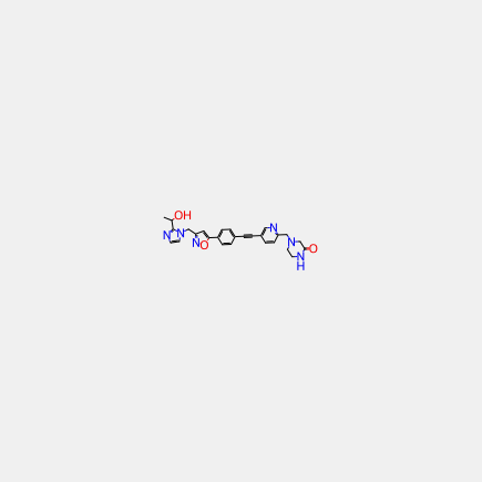 CC(O)c1nccn1Cc1cc(-c2ccc(C#Cc3ccc(CN4CCNC(=O)C4)nc3)cc2)on1